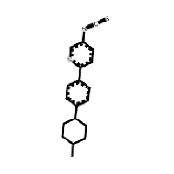 CC1CCC(c2ccc(-c3ccc(N=C=S)cn3)cc2)CC1